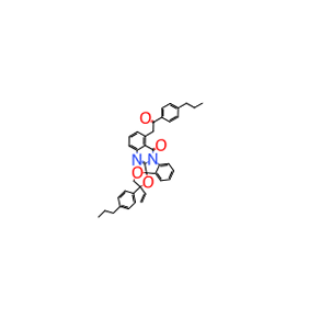 C=CC1(c2ccc(CCC)cc2)COC2(O1)c1ccccc1-n1c2nc2cccc(CC(=O)c3ccc(CCC)cc3)c2c1=O